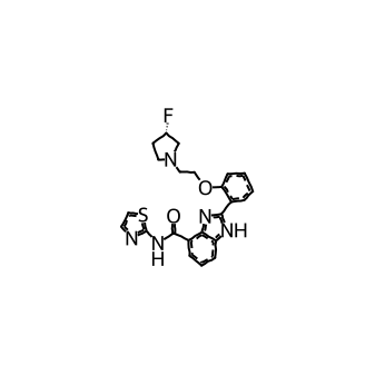 O=C(Nc1nccs1)c1cccc2[nH]c(-c3ccccc3OCCN3CC[C@H](F)C3)nc12